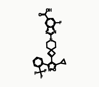 O=C(O)c1cc(F)c2nc(N3CCC4(C=C(c5c(-c6ccccc6C(F)(F)F)noc5C5CC5)C4)CC3)sc2c1